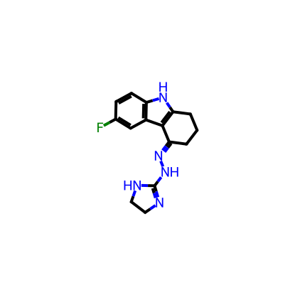 Fc1ccc2[nH]c3c(c2c1)C(=NNC1=NCCN1)CCC3